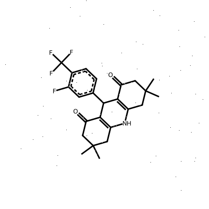 CC1(C)CC(=O)C2=C(C1)NC1=C(C(=O)CC(C)(C)C1)C2c1ccc(C(F)(F)F)c(F)c1